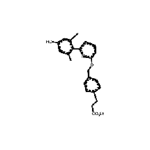 CCOC(=O)CCc1ccc(COc2cccc(-c3c(C)cc(O)cc3C)n2)cc1